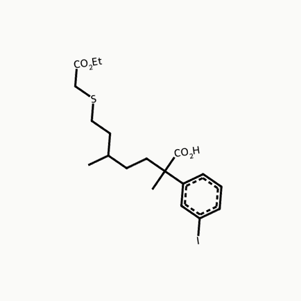 CCOC(=O)CSCCC(C)CCC(C)(C(=O)O)c1cccc(I)c1